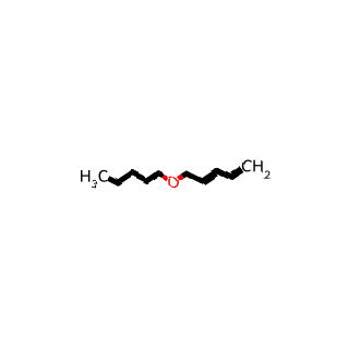 C=CC=CCOCCCCC